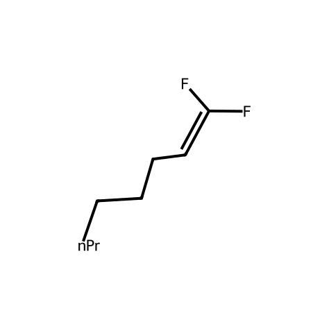 CCCCCCC=C(F)F